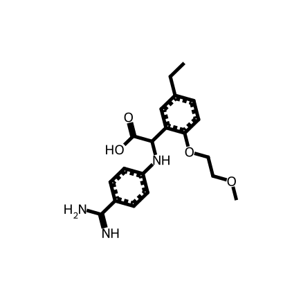 CCc1ccc(OCCOC)c(C(Nc2ccc(C(=N)N)cc2)C(=O)O)c1